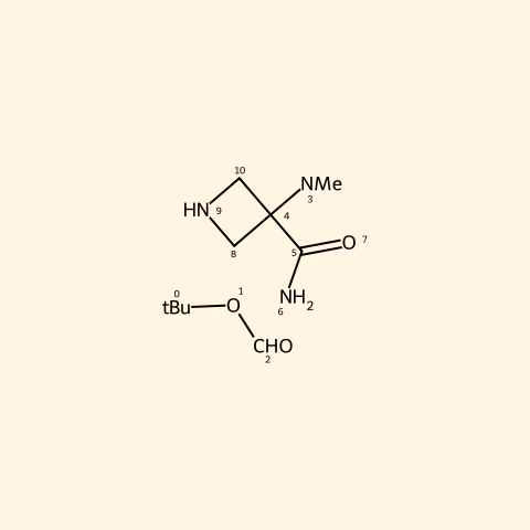 CC(C)(C)OC=O.CNC1(C(N)=O)CNC1